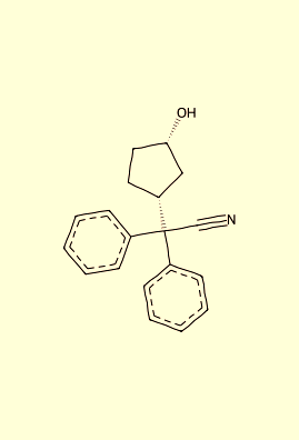 N#CC(c1ccccc1)(c1ccccc1)[C@@H]1CC[C@H](O)C1